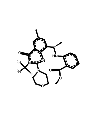 [2H]C([2H])([2H])n1c(N2CCOCC2)nc2c([C@@H](C)Nc3ccccc3C(=O)OC)cc(C)cc2c1=O